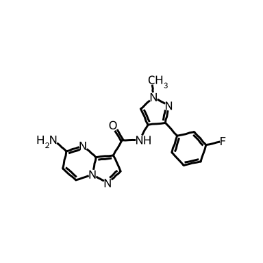 Cn1cc(NC(=O)c2cnn3ccc(N)nc23)c(-c2cccc(F)c2)n1